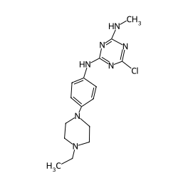 CCN1CCN(c2ccc(Nc3nc(Cl)nc(NC)n3)cc2)CC1